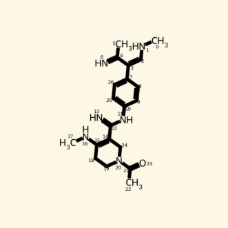 CN/C=C(\C(C)=N)c1ccc(NC(=N)C2=C(NC)CCN(C(C)=O)C2)cc1